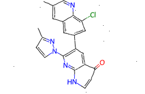 Cc1cnc2c(Cl)cc(-c3cc4c(=O)cc[nH]c4nc3-n3ccc(C)n3)cc2c1